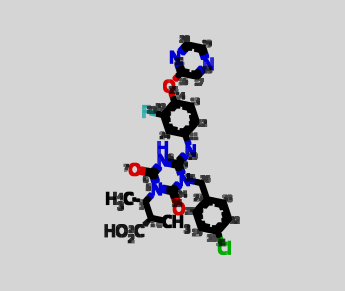 C[C@@H](C(=O)O)[C@H](C)n1c(=O)[nH]/c(=N\c2ccc(Oc3cnccn3)c(F)c2)n(Cc2ccc(Cl)cc2)c1=O